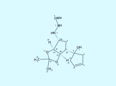 COBN[C@@H]1C[C@H](C2(O)CC=CC2)[C@H]2OC(C)(C)O[C@H]21